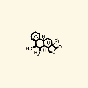 C=C1C(=C)[C@@H]2[C@@H](CC[C@]3(C)C(=O)OC[C@@H]23)[C@@]2(C)CCCC=C12